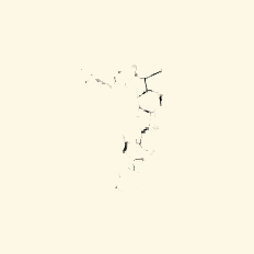 C=C(c1ccc2nc(-c3ccc(N4CCOCC4)nc3Cl)oc2c1)C(C)CC(=O)NN